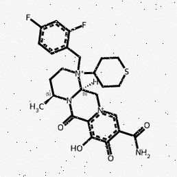 C[C@H]1CC[N+](Cc2ccc(F)cc2F)(C2CCSCC2)[C@H]2Cn3cc(C(N)=O)c(=O)c(O)c3C(=O)N12